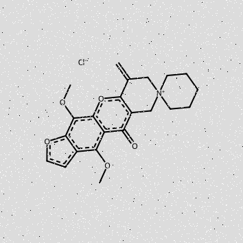 C=C1C[N+]2(CCCCC2)Cc2c1oc1c(OC)c3occc3c(OC)c1c2=O.[Cl-]